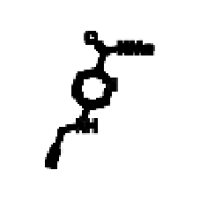 C#CCNc1ccc(C(=O)NC)nc1